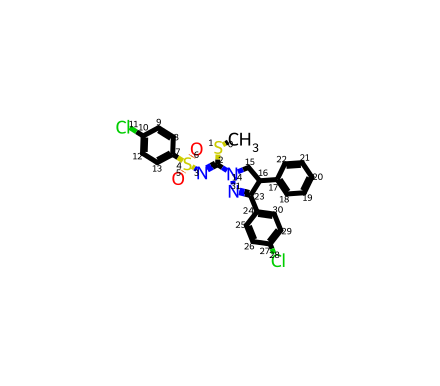 CSC(=NS(=O)(=O)c1ccc(Cl)cc1)N1CC(c2ccccc2)C(c2ccc(Cl)cc2)=N1